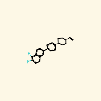 C=C[C@H]1CC[C@H](c2ccc(-c3ccc4c(F)c(F)ccc4c3)cc2)CC1